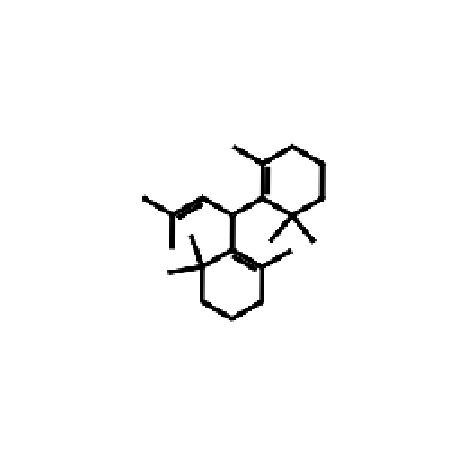 CC(C)=CC(C1=C(C)CCCC1(C)C)C1=C(C)CCCC1(C)C